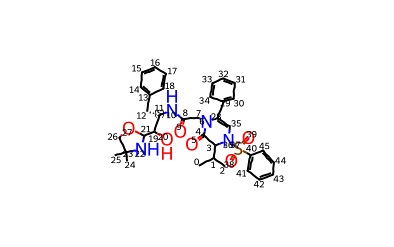 CC(C)C1C(=O)N(CC(=O)N[C@@H](Cc2ccccc2)C(O)C2NC(C)(C)CO2)C(c2ccccc2)=CN1S(=O)(=O)c1ccccc1